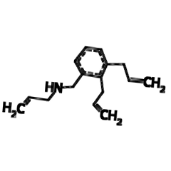 C=CCNCc1cccc(CC=C)c1CC=C